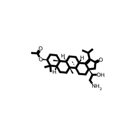 CC(=O)O[C@H]1CC[C@@]2(C)[C@H](CC[C@]3(C)[C@@H]2CC[C@@H]2C4=C(C(C)C)C(=O)C[C@]4(C(O)CN)CC[C@]23C)C1(C)C